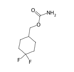 NC(=O)OCC1CCC(F)(F)CC1